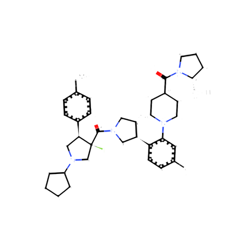 CC[C@H]1CN(C(=O)[C@]2(F)CN(C3CCCC3)C[C@H]2c2ccc(OC)cc2)C[C@@H]1c1ccc(C(F)(F)F)cc1N1CCC(C(=O)N2CCC[C@@H]2C(=O)O)CC1